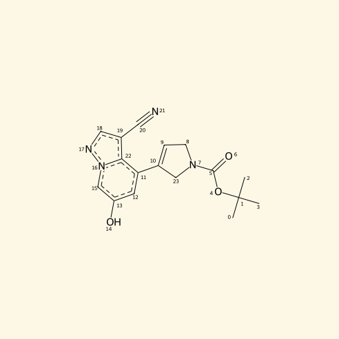 CC(C)(C)OC(=O)N1CC=C(c2cc(O)cn3ncc(C#N)c23)C1